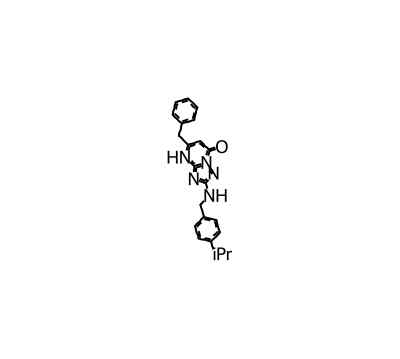 CC(C)c1ccc(CNc2nc3[nH]c(Cc4ccccc4)cc(=O)n3n2)cc1